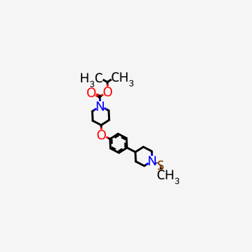 CSN1CCC(c2ccc(OC3CCN(C(=O)OC(C)C)CC3)cc2)CC1